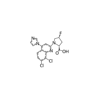 O=C(O)[C@@H]1C[C@H](F)CN1c1cc(-n2ccnc2)c2ccc(Cl)c(Cl)c2n1